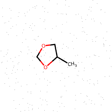 CC1COCO1